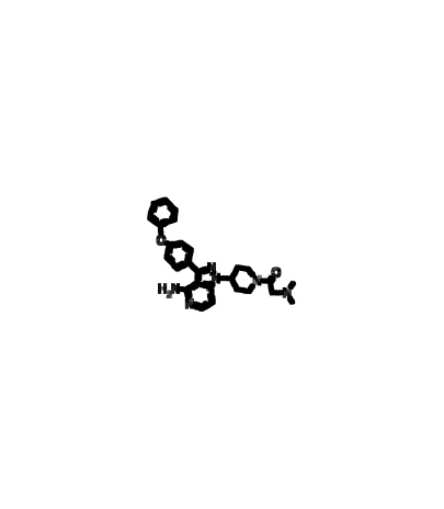 CN(C)CC(=O)N1CCC(n2nc(-c3ccc(Oc4ccccc4)cc3)c3c(N)nccc32)CC1